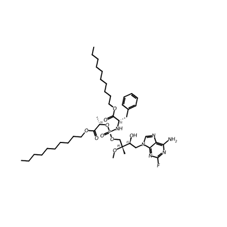 CCCCCCCCCCOC(=O)[C@H](Cc1ccccc1)NP(=O)(OC[C@@](C)(OC)[C@@H](O)Cn1cnc2c(N)nc(F)nc21)O[C@@H](C)C(=O)OCCCCCCCCCC